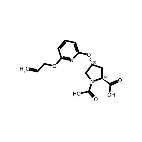 C=CCOc1cccc(O[C@@H]2C[C@@H](C(=O)O)N(C(=O)O)C2)n1